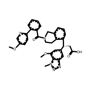 COc1ccc(-c2ccccc2C(=O)N2CCc3c(cccc3[C@H](CC(=O)O)c3cc(OC)c4c(c3)nnn4C)C2)nc1